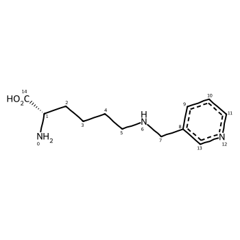 N[C@@H](CCCCNCc1cccnc1)C(=O)O